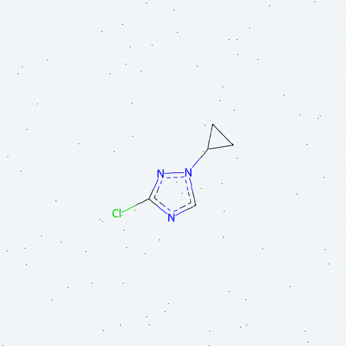 Clc1ncn(C2CC2)n1